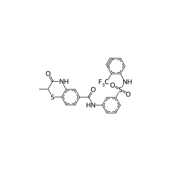 CC1Sc2ccc(C(=O)Nc3cccc(S(=O)(=O)Nc4ccc#cc4C(F)(F)F)c3)cc2NC1=O